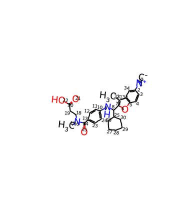 [C-]#[N+]c1ccc2oc(C(Nc3ccc(C(=O)N(C)CCC(=O)O)cc3)C3CCCCC3)c(C)c2c1